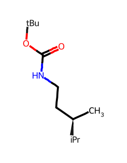 CC(C)[C@H](C)CCNC(=O)OC(C)(C)C